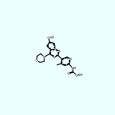 COC(=O)Nc1cc(C)c(-c2nc(N3CCOCC3)c3cc(C=O)cn3n2)cn1